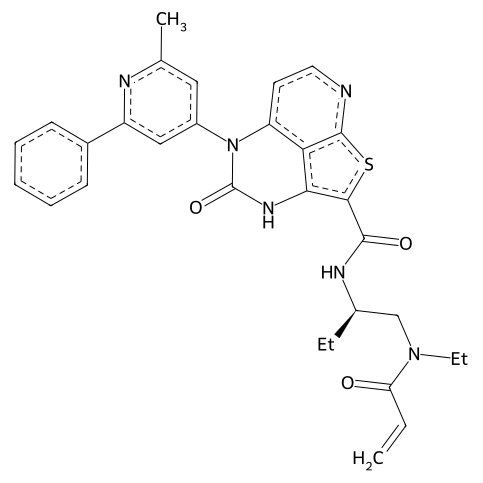 C=CC(=O)N(CC)C[C@@H](CC)NC(=O)c1sc2nccc3c2c1NC(=O)N3c1cc(C)nc(-c2ccccc2)c1